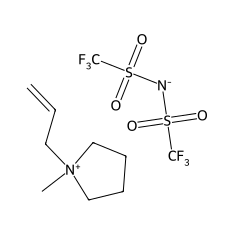 C=CC[N+]1(C)CCCC1.O=S(=O)([N-]S(=O)(=O)C(F)(F)F)C(F)(F)F